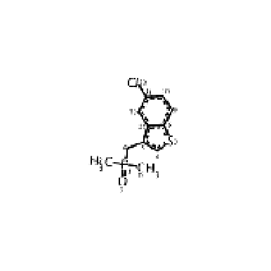 CP(C)(=O)Cc1csc2ccc(Cl)cc12